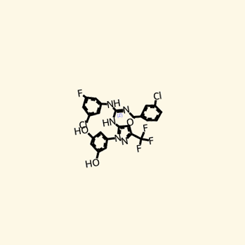 O=C(/N=C(/Nc1cc(F)cc(Cl)c1)Nc1cc(C(F)(F)F)nn1-c1cc(O)cc(O)c1)c1cccc(Cl)c1